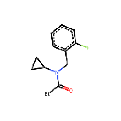 CCC(=O)N(Cc1ccccc1F)C1CC1